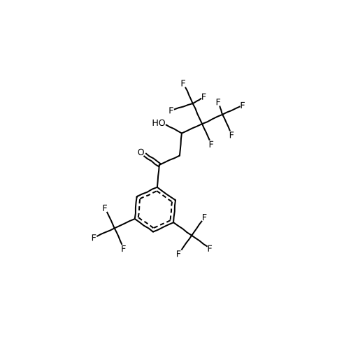 O=C(CC(O)C(F)(C(F)(F)F)C(F)(F)F)c1cc(C(F)(F)F)cc(C(F)(F)F)c1